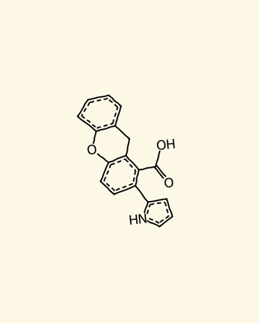 O=C(O)c1c(-c2ccc[nH]2)ccc2c1Cc1ccccc1O2